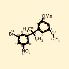 COc1cc(OC(F)(F)F)cc(C(C)(C)c2cc(Br)cc([N+](=O)[O-])c2)c1